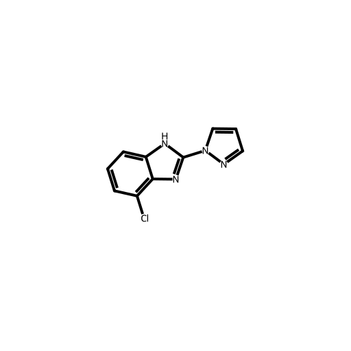 Clc1cccc2[nH]c(-n3cccn3)nc12